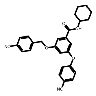 N#Cc1ccc(COc2cc(Oc3ccc(C#N)cc3)cc(C(=O)NC3CC[CH]CC3)c2)cc1